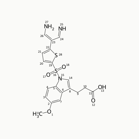 COc1ccc2c(c1)c(CCC(=O)O)cn2S(=O)(=O)c1ccc(/C(C=N)=C/N)s1